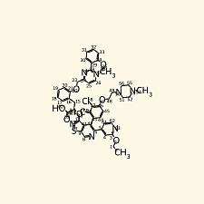 CCOc1cc(-c2ncc3snc(O[C@H](Cc4ccccc4OCc4ccnc(-c5ccccc5OC)n4)C(=O)O)c3c2-c2ccc(OCCN3CCN(C)CC3)c(Cl)c2C)ccn1